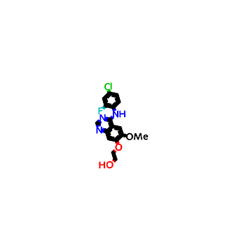 COc1cc2c(Nc3ccc(Cl)cc3F)ncnc2cc1OCCO